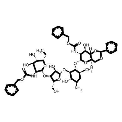 CC[C@@H]1O[C@H](O[C@H]2[C@@H](O)[C@H](O[C@@H]3[C@@H](O)[C@H](N)C[C@H](C)[C@H]3O[C@H]3O[C@@H]4COC(c5ccccc5)O[C@H]4[C@H](O)[C@H]3NC(=O)OCc3ccccc3)O[C@@H]2CO)[C@H](NC(=O)OCc2ccccc2)[C@@H](O)[C@@H]1O